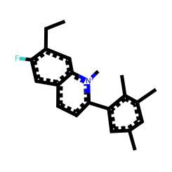 CCc1cc2c(ccc(-c3cc(C)cc(C)c3C)[n+]2C)cc1F